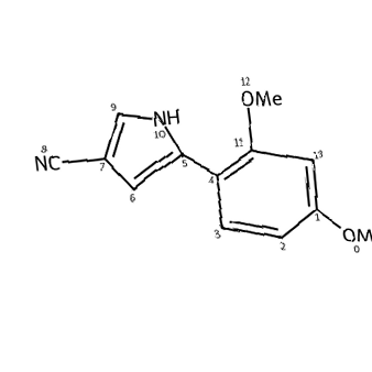 COc1ccc(-c2cc(C#N)c[nH]2)c(OC)c1